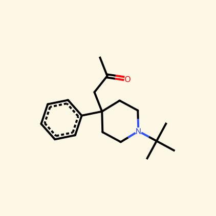 CC(=O)CC1(c2ccccc2)CCN(C(C)(C)C)CC1